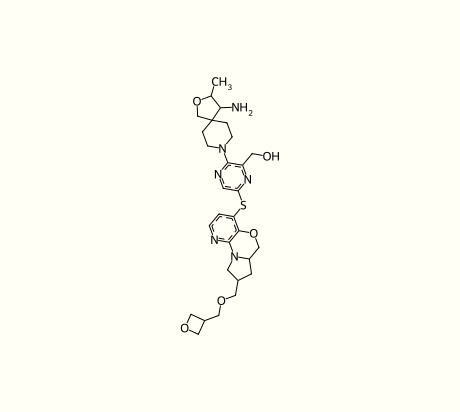 CC1OCC2(CCN(c3ncc(Sc4ccnc5c4OCC4CC(COCC6COC6)CN54)nc3CO)CC2)C1N